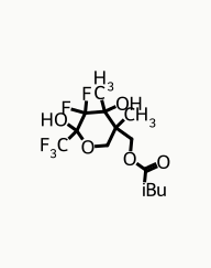 CCC(C)C(=O)OCC1(C)COC(O)(C(F)(F)F)C(F)(F)C1(C)O